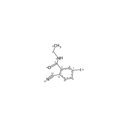 CCNC(=O)c1cc(I)ccc1C#N